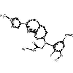 COc1cc(OC)c(F)c(N(CC(=O)NN)c2ccc3ncc(-c4cnn(C)c4)nc3n2)c1